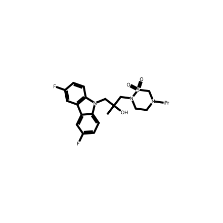 CC(C)N1CCN(CC(C)(O)Cn2c3ccc(F)cc3c3cc(F)ccc32)S(=O)(=O)C1